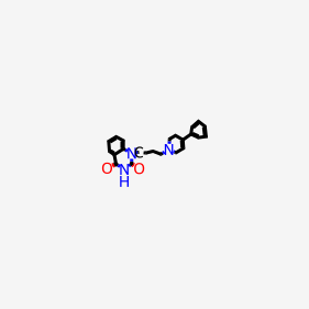 O=c1[nH]c(=O)n(CCCCN2CC=C(c3ccccc3)CC2)c2ccccc12